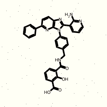 Nc1ncccc1-c1nc2ccc(-c3ccccc3)nc2n1-c1ccc(CNC(=O)c2cccc(C(=O)O)c2O)cc1